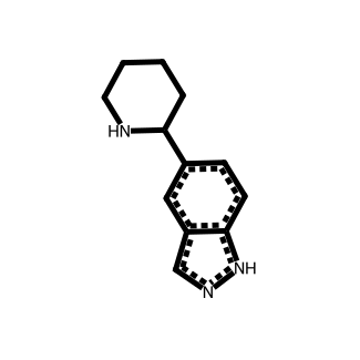 c1cc2[nH]ncc2cc1C1CCCCN1